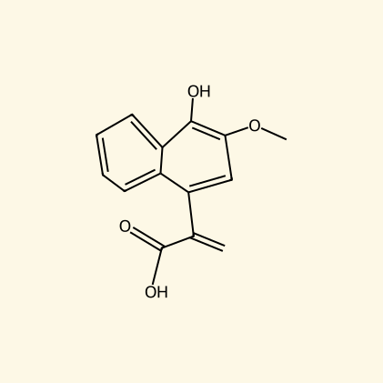 C=C(C(=O)O)c1cc(OC)c(O)c2ccccc12